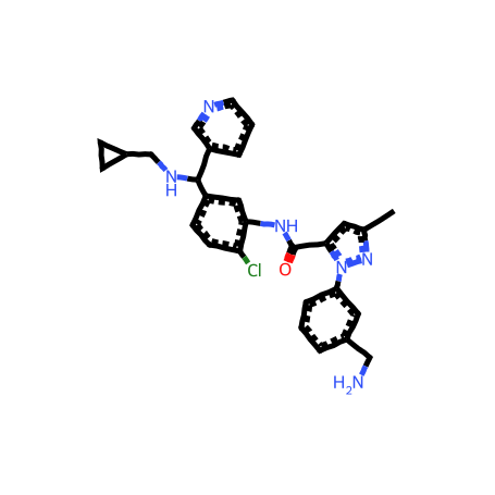 Cc1cc(C(=O)Nc2cc(C(NCC3CC3)c3cccnc3)ccc2Cl)n(-c2cccc(CN)c2)n1